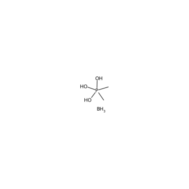 B.CP(C)(O)(O)O